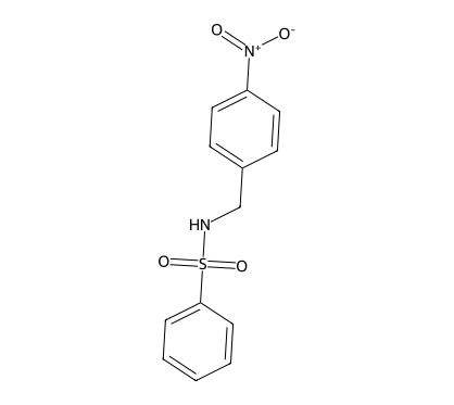 O=[N+]([O-])c1ccc(CNS(=O)(=O)c2ccccc2)cc1